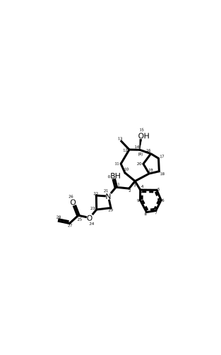 B=C(CC1(c2ccccc2)CCC(C)[C@@H](O)C2CCC1C2)N1CC(OC(=O)C=C)C1